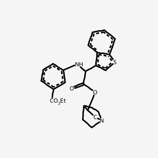 CCOC(=O)c1cccc(NC(C(=O)OC2CN3CCC2CC3)c2csc3ccccc23)c1